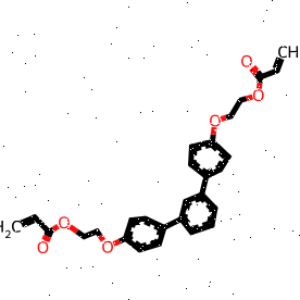 C=CC(=O)OCCOc1ccc(-c2cccc(-c3ccc(OCCOC(=O)C=C)cc3)c2)cc1